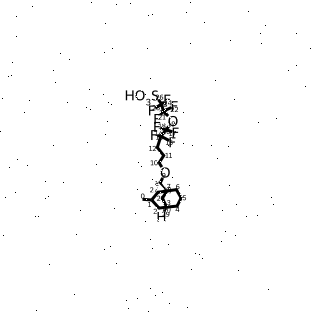 CC1C[C@H]2CCC[C@@](COCCCC(F)(F)C(F)(F)OC(F)(F)C(F)(F)S(=O)(=O)O)(C1)C2